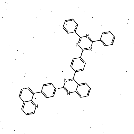 c1ccc(-c2nc(-c3ccccc3)nc(-c3ccc(-c4nc(-c5ccc(-c6cccc7cccnc67)cc5)nc5ccccc45)cc3)n2)cc1